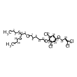 CCCSC(COCCCCCOc1c(Cl)cc(OCC=C(Cl)Cl)cc1Cl)SCCC